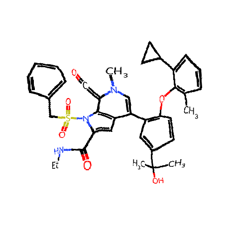 CCNC(=O)c1cc2c(n1S(=O)(=O)Cc1ccccc1)C(=C=O)N(C)C=C2c1cc(C(C)(C)O)ccc1Oc1c(C)cccc1C1CC1